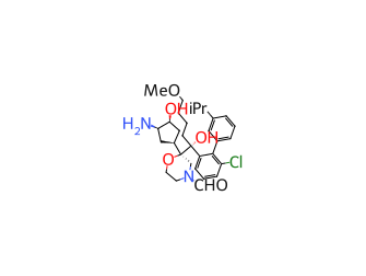 COCCCC[C@@](O)(c1cccc(Cl)c1-c1cccc(C(C)C)c1)[C@@]1([C@H]2C[C@@H](N)[C@@H](O)C2)CN(C=O)CCO1